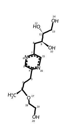 C[C@@H](CCc1cnc(C[C@H](O)[C@H](O)CO)cn1)OCCO